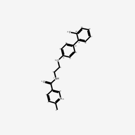 Cc1ccc(C(=O)NCCOc2ccc(-c3ccccc3F)cc2)cn1